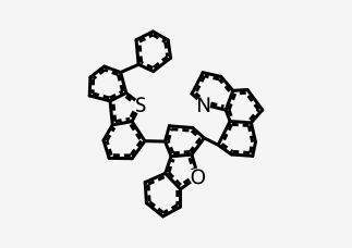 c1ccc(-c2cccc3c2sc2c(-c4ccc(-c5cccc6ccc7cccnc7c56)c5oc6ccccc6c45)cccc23)cc1